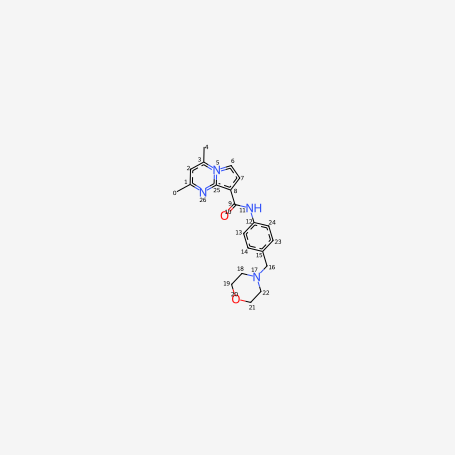 Cc1cc(C)n2ccc(C(=O)Nc3ccc(CN4CCOCC4)cc3)c2n1